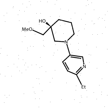 CCc1ccc(N2CCC[C@@](O)(COC)C2)cn1